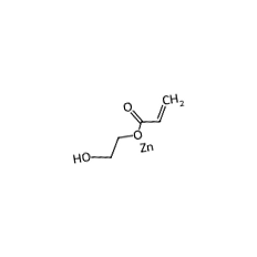 C=CC(=O)OCCO.[Zn]